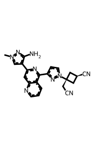 Cn1cc(-c2cc3ncccc3c(-c3ccn([C@]4(CC#N)C[C@@H](C#N)C4)n3)n2)c(N)n1